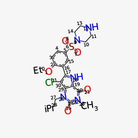 CCOc1ccc(S(=O)(=O)N2CCNCC2)cc1-c1[nH]c2c(=O)n(C)c(=O)n(CC(C)C)c2c1Cl